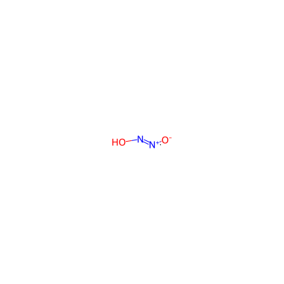 [O-]/[N+]=N/O